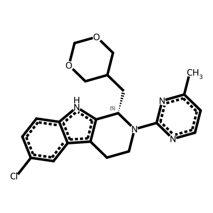 Cc1ccnc(N2CCc3c([nH]c4ccc(Cl)cc34)[C@@H]2CC2COCOC2)n1